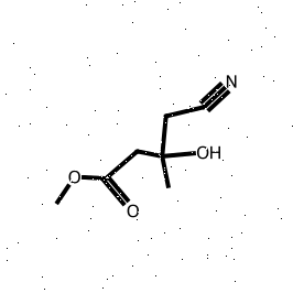 COC(=O)CC(C)(O)CC#N